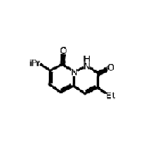 CCc1cc2ccc(C(C)C)c(=O)n2[nH]c1=O